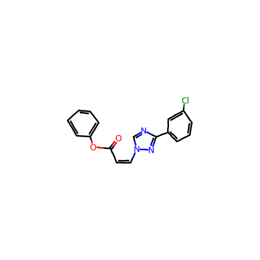 O=C(/C=C\n1cnc(-c2cccc(Cl)c2)n1)Oc1ccccc1